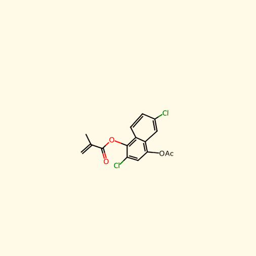 C=C(C)C(=O)Oc1c(Cl)cc(OC(C)=O)c2cc(Cl)ccc12